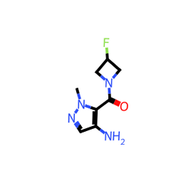 Cn1ncc(N)c1C(=O)N1CC(F)C1